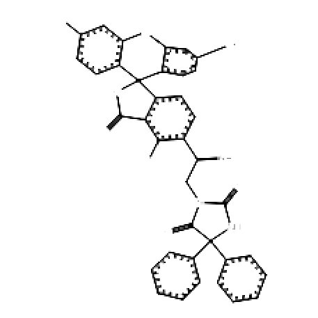 NC(CN1C(=O)NC(c2ccccc2)(c2ccccc2)C1=O)c1ccc2c(c1C(=O)O)C(=O)OC21c2ccc(O)cc2Oc2cc(O)ccc21